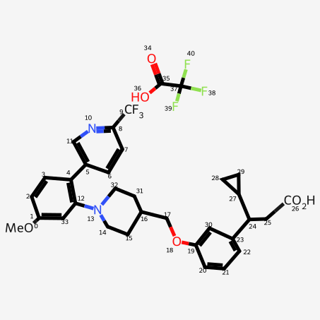 COc1ccc(-c2ccc(C(F)(F)F)nc2)c(N2CCC(COc3cccc(C(CC(=O)O)C4CC4)c3)CC2)c1.O=C(O)C(F)(F)F